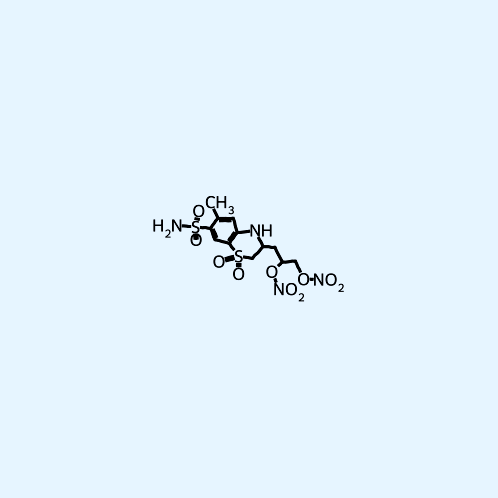 Cc1cc2c(cc1S(N)(=O)=O)S(=O)(=O)CC(CC(CO[N+](=O)[O-])O[N+](=O)[O-])N2